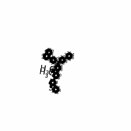 CC1(C)c2cc(-c3ccc4sc5ccccc5c4c3)ccc2-c2ccc(N(c3ccc(-c4ccccc4)cc3)c3ccc(-c4cccc5ccccc45)cc3)cc21